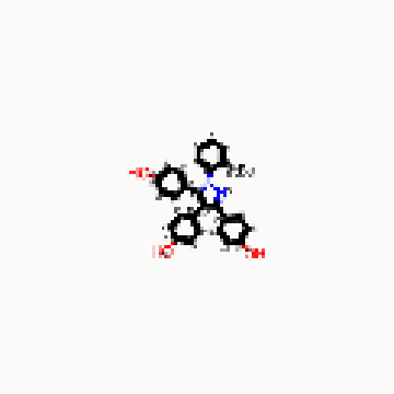 CC(C)(C)c1ccccc1-n1nc(-c2ccc(O)cc2)c(-c2ccc(O)cc2)c1-c1ccc(O)cc1